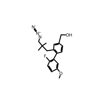 COc1ccc(F)c(-c2ccc(CO)cc2CC(C)(C)CN=[N+]=[N-])c1